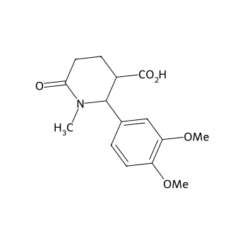 COc1ccc(C2C(C(=O)O)CCC(=O)N2C)cc1OC